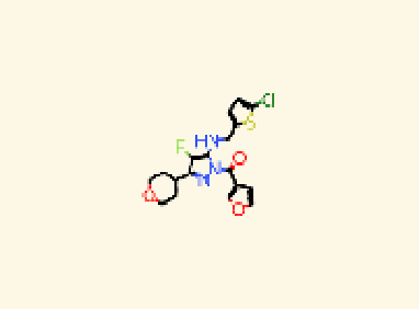 O=C(c1ccoc1)n1nc(C2CCOCC2)c(F)c1NCc1ccc(Cl)s1